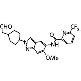 COc1cc2nn(C3CCC(CC=O)CC3)cc2cc1NC(=O)c1cccc(C(F)(F)F)n1